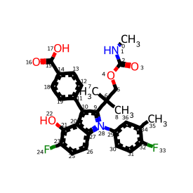 CNC(=O)OCC(C)(C)c1c(-c2ccc(C(=O)O)cc2)c2c(O)c(F)ccc2n1-c1ccc(F)c(C)c1